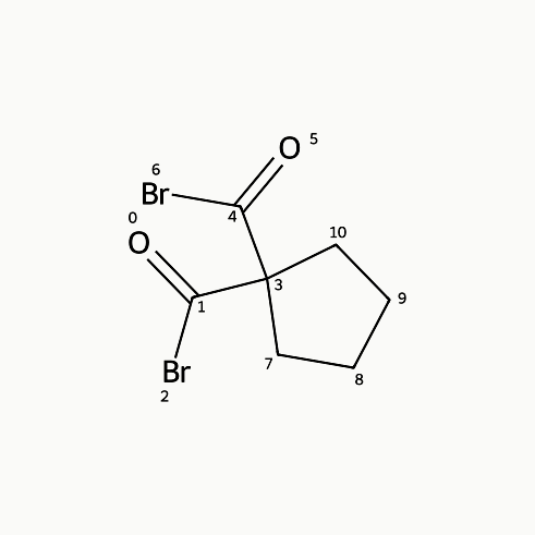 O=C(Br)C1(C(=O)Br)CCCC1